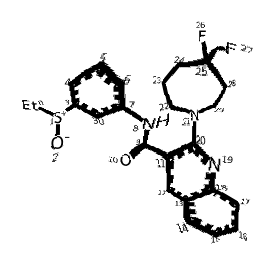 CC[S+]([O-])c1cccc(NC(=O)c2cc3ccccc3nc2N2CCCC(F)(F)CC2)c1